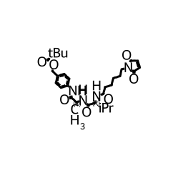 CC(C)[C@@H](NC(=O)CCCCCN1C(=O)C=CC1=O)C(=O)N[C@H](C)C(=O)Nc1ccc(COC(=O)C(C)(C)C)cc1